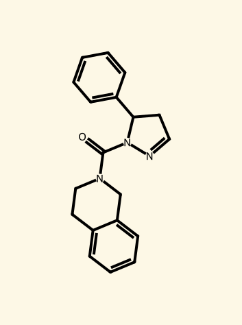 O=C(N1CCc2ccccc2C1)N1N=CCC1c1ccccc1